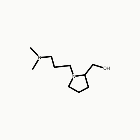 CN(C)CCCN1CCCC1CO